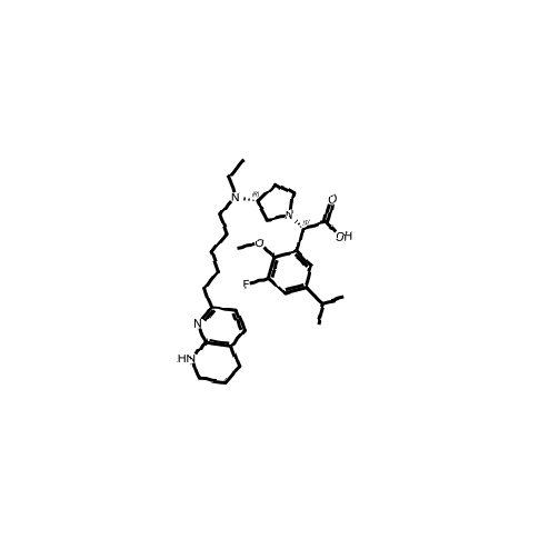 CCN(CCCCCc1ccc2c(n1)NCCC2)[C@@H]1CCN([C@H](C(=O)O)c2cc(C(C)C)cc(F)c2OC)C1